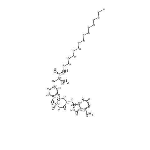 CCCCCCCCCCCCCCCCNC(=O)[C@@H](N)Cc1ccc(OP2(=O)CO[C@@H](Cn3cnc4c(N)ncnc43)CO2)cc1